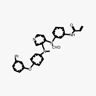 C=CC(=O)Nc1cccc(N(C=O)c2ccncc2N(C)c2ccc(Oc3cccc(C(C)C)c3)cc2)c1